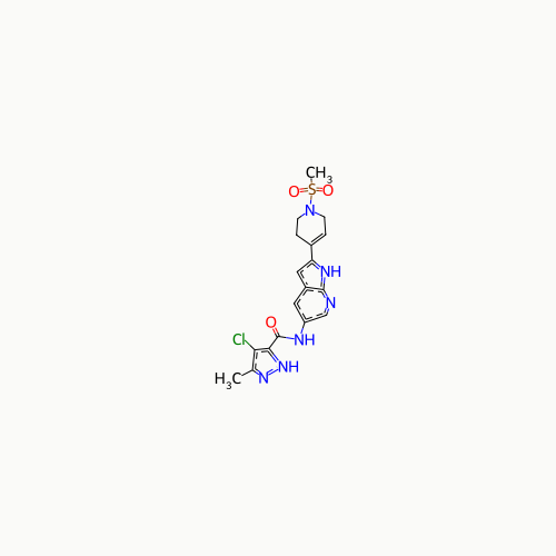 Cc1n[nH]c(C(=O)Nc2cnc3[nH]c(C4=CCN(S(C)(=O)=O)CC4)cc3c2)c1Cl